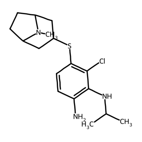 CC(C)Nc1c(N)ccc(SC2CC3CCC(C2)N3C)c1Cl